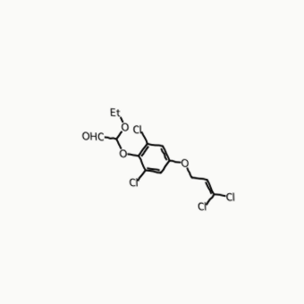 CCOC(C=O)Oc1c(Cl)cc(OCC=C(Cl)Cl)cc1Cl